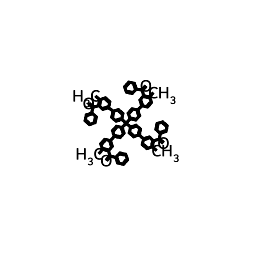 Cc1ccc(-c2ccc(C(c3ccc(-c4ccc(C)c(C(=O)c5ccccc5)c4)cc3)(c3ccc(-c4ccc(C)c(C(=O)c5ccccc5)c4)cc3)c3ccc(-c4ccc(C)c(C(=O)c5ccccc5)c4)cc3)cc2)cc1C(=O)c1ccccc1